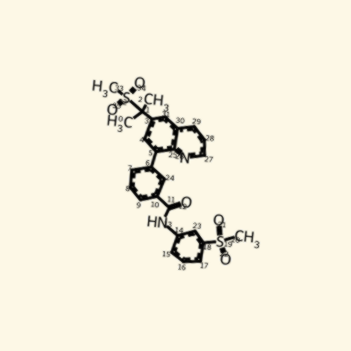 CC(C)(c1cc(-c2cccc(C(=O)Nc3cccc(S(C)(=O)=O)c3)c2)c2ncccc2c1)S(C)(=O)=O